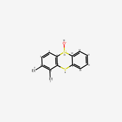 CCc1ccc2c(c1CC)Sc1ccccc1[S+]2[O-]